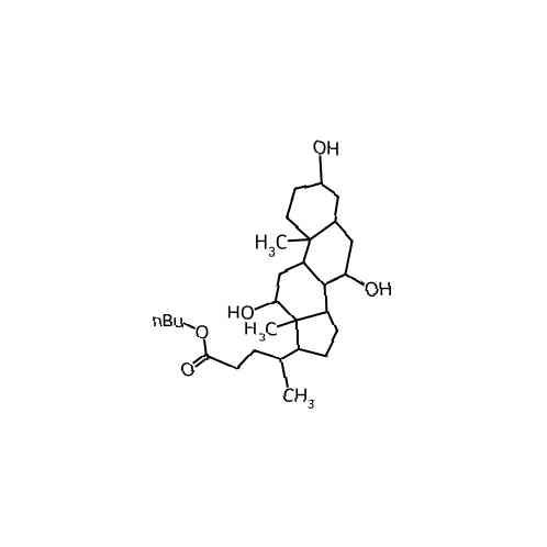 CCCCOC(=O)CCC(C)C1CCC2C3C(O)CC4CC(O)CCC4(C)C3CC(O)C12C